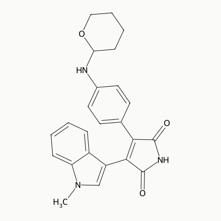 Cn1cc(C2=C(c3ccc(NC4CCCCO4)cc3)C(=O)NC2=O)c2ccccc21